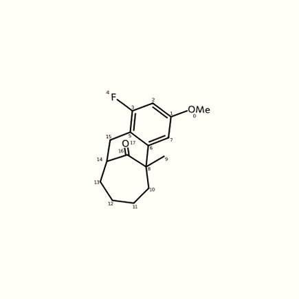 COc1cc(F)c2c(c1)C1(C)CCCCC(C2)C1=O